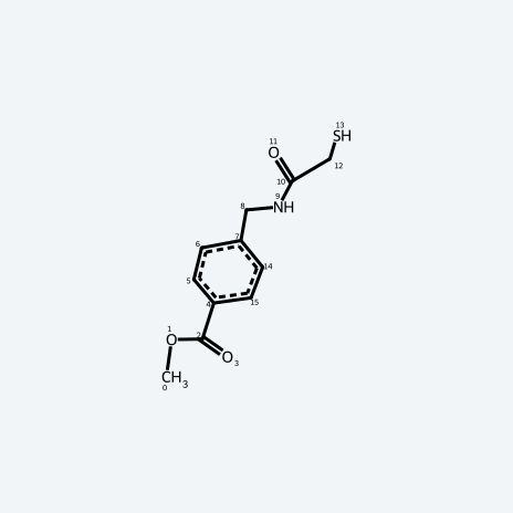 COC(=O)c1ccc(CNC(=O)CS)cc1